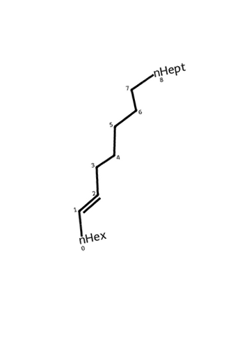 CCCCCCC=CCCCCCCCCCCCC